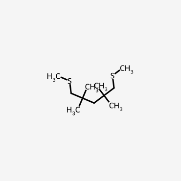 CSCC(C)(C)CC(C)(C)CSC